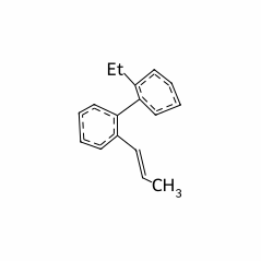 CC=Cc1ccccc1-c1ccccc1CC